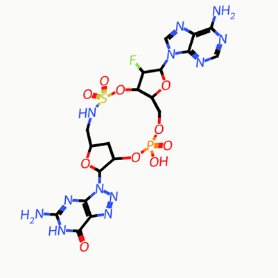 Nc1nc2c(nnn2C2OC3CNS(=O)(=O)OC4C(COP(=O)(O)OC2C3)OC(n2cnc3c(N)ncnc32)C4F)c(=O)[nH]1